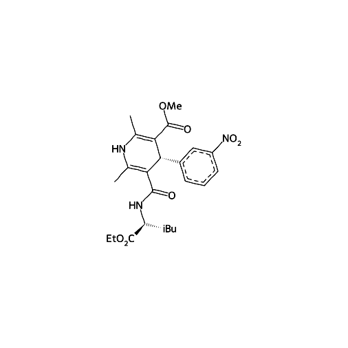 CCOC(=O)[C@@H](NC(=O)C1=C(C)NC(C)=C(C(=O)OC)[C@@H]1c1cccc([N+](=O)[O-])c1)[C@@H](C)CC